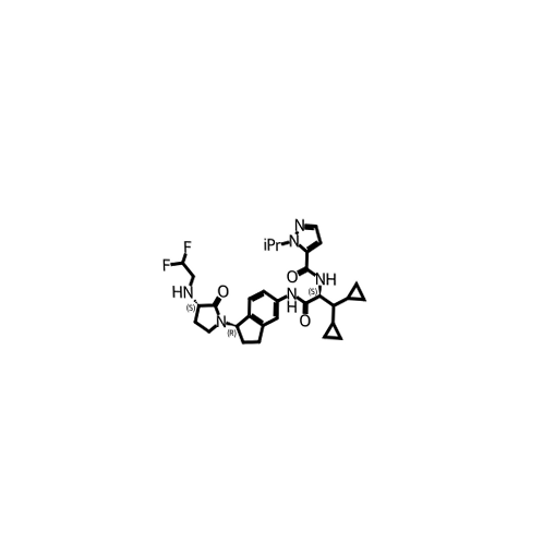 CC(C)n1nccc1C(=O)N[C@H](C(=O)Nc1ccc2c(c1)CC[C@H]2N1CC[C@H](NCC(F)F)C1=O)C(C1CC1)C1CC1